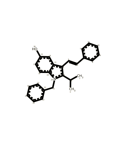 CC(C)c1c(/C=C/c2ccccc2)c2cc(O)ccc2n1Cc1ccccc1